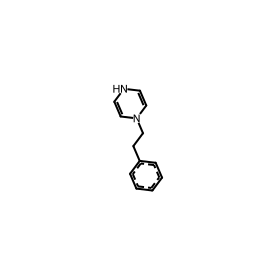 C1=CN(CCc2ccccc2)C=CN1